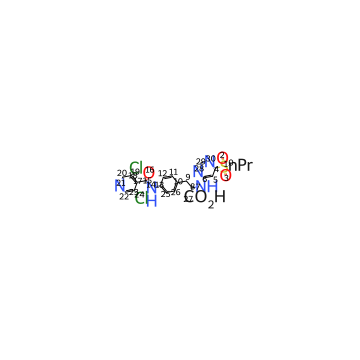 CCCS(=O)(=O)c1cc(NC(Cc2ccc(NC(=O)c3c(Cl)cncc3Cl)cc2)C(=O)O)ncn1